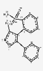 CC(C)c1noc(-c2ccccc2)c1-c1ccccc1S(N)(=O)=O